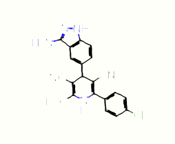 CC1=C(C#N)C(c2ccc3[nH]nc(N)c3c2)C(C#N)=C(c2ccc(Cl)cc2)N1